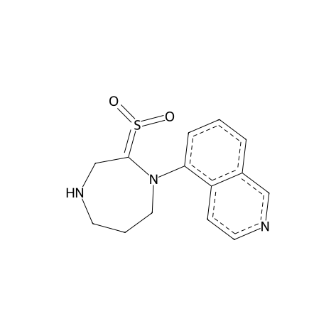 O=S(=O)=C1CNCCCN1c1cccc2cnccc12